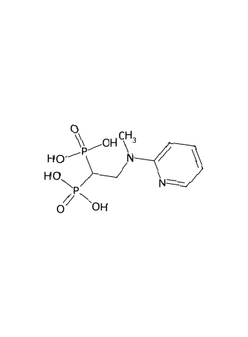 CN(CC(P(=O)(O)O)P(=O)(O)O)c1ccccn1